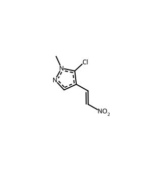 Cn1ncc(/C=C/[N+](=O)[O-])c1Cl